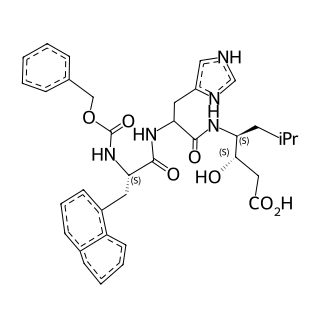 CC(C)C[C@H](NC(=O)C(Cc1c[nH]cn1)NC(=O)[C@H](Cc1cccc2ccccc12)NC(=O)OCc1ccccc1)[C@@H](O)CC(=O)O